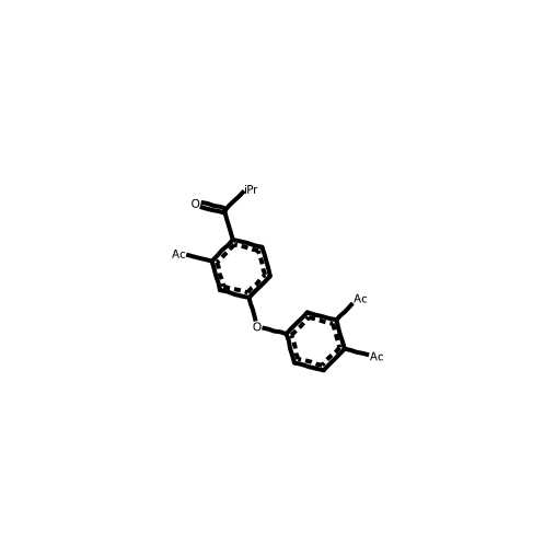 CC(=O)c1ccc(Oc2ccc(C(=O)C(C)C)c(C(C)=O)c2)cc1C(C)=O